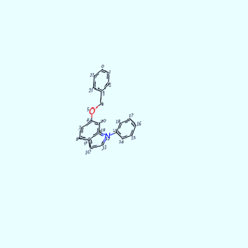 c1ccc(COc2ccc3ccn(-c4ccccc4)c3c2)cc1